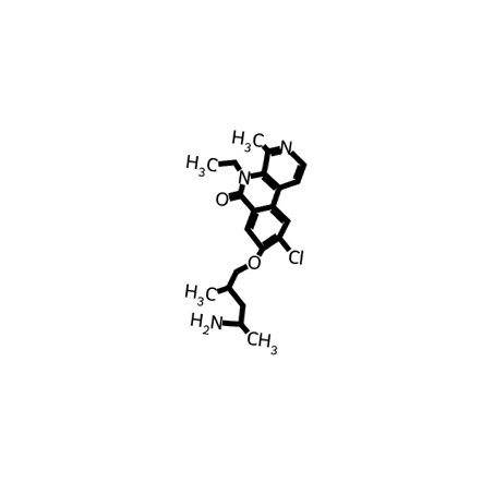 CCn1c(=O)c2cc(OCC(C)CC(C)N)c(Cl)cc2c2ccnc(C)c21